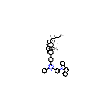 CC(C)CCC[C@@H](C)[C@H]1CC[C@H]2[C@@H]3CC[C@H]4CC(c5ccc(-c6nc(-c7ccccc7)nc(-c7cccc(-n8c9ccccc9c9ccc%10ccccc%10c98)c7)n6)cc5)CC[C@]4(C)[C@H]3CC[C@]12C